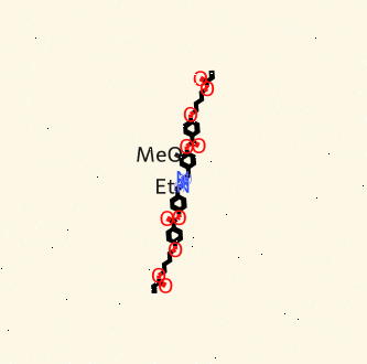 C=CC(=O)OCCCCOc1ccc(C(=O)Oc2ccc(/C(CC)=N/N=C/c3ccc(OC(=O)c4ccc(OCCCCOC(=O)C=C)cc4)c(OC)c3)cc2)cc1